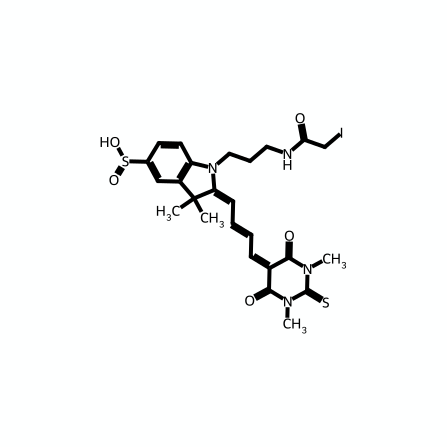 CN1C(=O)C(=C/C=C/C=C2/N(CCCNC(=O)CI)c3ccc(S(=O)O)cc3C2(C)C)C(=O)N(C)C1=S